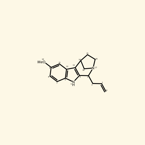 C=CCC1c2[nH]c3ccc(OC)cc3c2C2CCN1C2